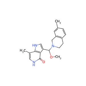 COC(c1c[nH]c2c(C)c[nH]c(=O)c12)N1CCc2ccc(C)cc2C1